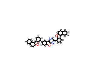 c1ccc2c(c1)ccc1oc3c(-c4ccc5oc6nc(-c7cccc8c7oc7ccc9ccccc9c78)cnc6c5c4)cccc3c12